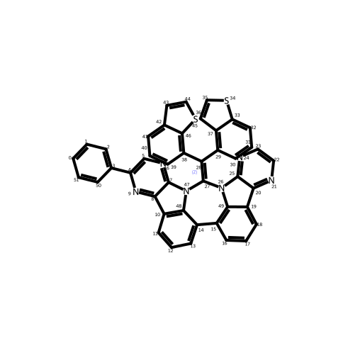 c1ccc(-c2cnc3c(n2)c2cccc4c5cccc6c7nccnc7n(/c(=C(\c7cccc8sccc78)c7cccc8ccsc78)n3c42)c56)cc1